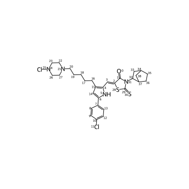 O=C1/C(=C/c2[nH]c(-c3ccc(Cl)cc3)cc2CCCCCN2CCN(Cl)CC2)SC(=S)N1C1CC2CCC1C2